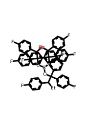 CCC(c1ccc(F)cc1)C(OB(OC(c1ccc(F)cc1)(c1ccc(F)cc1)C(CC)c1ccc(F)cc1)OC(c1ccc(F)cc1)(c1ccc(F)cc1)C(CC)c1ccc(F)cc1)(c1ccc(F)cc1)c1ccc(F)cc1